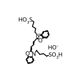 O=S(=O)(O)CCCCN1C(=CC=Cc2oc3ccccc3[n+]2CCCCS(=O)(=O)O)Oc2ccccc21.[OH-]